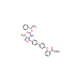 COC(=O)c1ccccc1Oc1ccc(-c2ccc(-c3onc(C)c3NC(=O)O[C@H](C)c3ccccc3)cc2)cc1